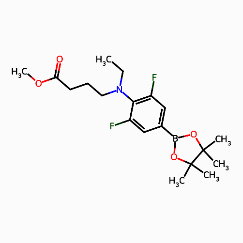 CCN(CCCC(=O)OC)c1c(F)cc(B2OC(C)(C)C(C)(C)O2)cc1F